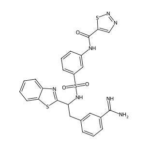 N=C(N)c1cccc(CC(NS(=O)(=O)c2cccc(NC(=O)c3cnns3)c2)c2nc3ccccc3s2)c1